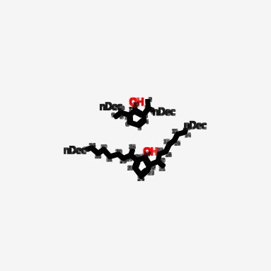 CCCCCCCCCCC(C)c1cccc(C(C)CCCCCCCCCC)c1O.CCCCCCCCCCCCCCCCC(C)c1cccc(C(C)CCCCCCCCCCCCCCCC)c1O